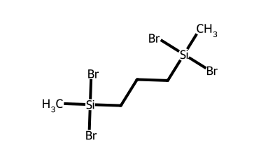 C[Si](Br)(Br)CCC[Si](C)(Br)Br